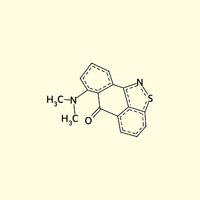 CN(C)c1cccc2c1C(=O)c1cccc3snc-2c13